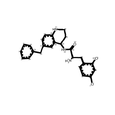 NC(Cc1ccc(Cl)cc1Cl)C(=O)NC1CCNc2ccc(Cc3ccccc3)cc21